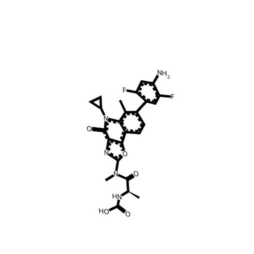 Cc1c(-c2cc(F)c(N)cc2F)ccc2c3oc(N(C)C(=O)[C@@H](C)NC(=O)O)nc3c(=O)n(C3CC3)c12